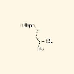 [CH2]CCCCCCCC[C](C(C)(C)C)C(C)(C)C